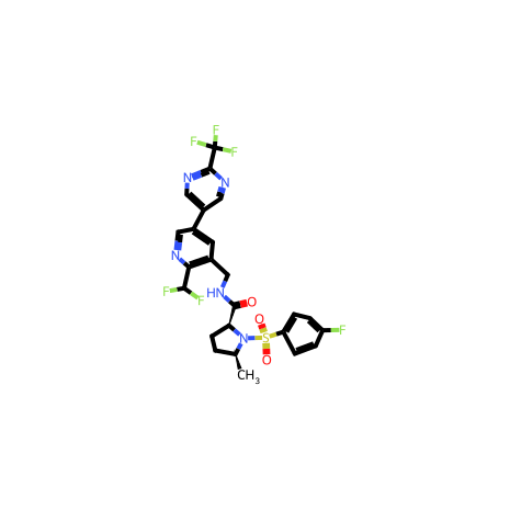 C[C@H]1CC[C@@H](C(=O)NCc2cc(-c3cnc(C(F)(F)F)nc3)cnc2C(F)F)N1S(=O)(=O)c1ccc(F)cc1